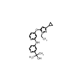 CC(C)(O)c1cc(Nc2cc(Oc3cc(C4CC4)nn3CC(F)(F)F)ccn2)ccn1